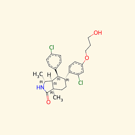 C[C@H]1NC(=O)[C@]2(C)CC[C@@H](c3ccc(OCCCO)cc3Cl)[C@H](c3ccc(Cl)cc3)[C@H]12